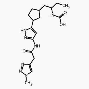 CCC(CC1CCC(c2cc(NC(=O)Cc3cn(C)nn3)n[nH]2)C1)NC(=O)O